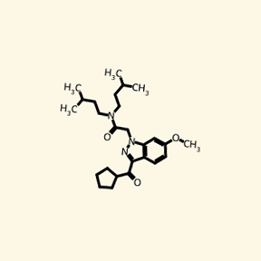 COc1ccc2c(C(=O)C3CCCC3)nn(CC(=O)N(CCC(C)C)CCC(C)C)c2c1